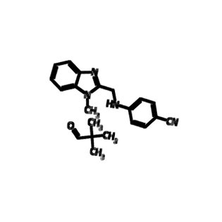 CC(C)(C)C=O.Cn1c(CNc2ccc(C#N)cc2)nc2ccccc21